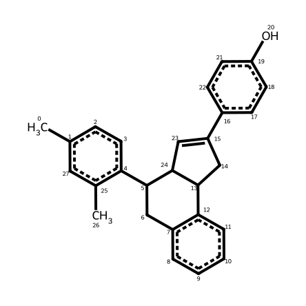 Cc1ccc(C2Cc3ccccc3C3CC(c4ccc(O)cc4)=CC23)c(C)c1